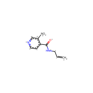 C=CCNC(=O)c1ccncc1[N+](=O)[O-]